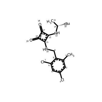 Cc1cc(Cl)cc(Cl)c1CNc1c(N[C@H](C)C(C)(C)C)c(=O)c1=O